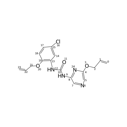 C=CCOc1cncc(NC(=O)Nc2cc(Cl)ccc2OCC=C)n1